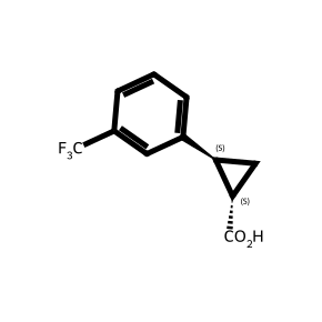 O=C(O)[C@H]1C[C@@H]1c1cccc(C(F)(F)F)c1